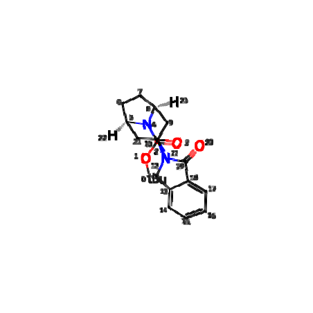 CC(C)(C)OC(=O)N1[C@@H]2CC[C@H]1C[C@@H](N1Cc3ccccc3C1=O)C2